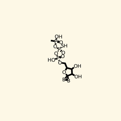 CP(=O)(O)OP(=O)(S)OP(=O)(O)OCC1OC2(B=B2)C(O)C1O